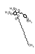 CCCCCCCCCCCCCCCCCC(=O)Oc1cc(OC)cc(OC)c1C(=O)C=Cc1ccc(OC)cc1